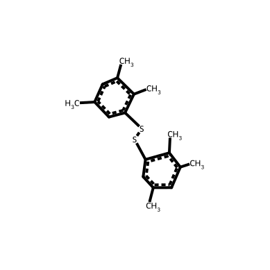 Cc1cc(C)c(C)c(SSc2cc(C)cc(C)c2C)c1